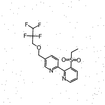 CCS(=O)(=O)c1cccnc1-c1ccc(COCC(F)(F)C(F)F)cn1